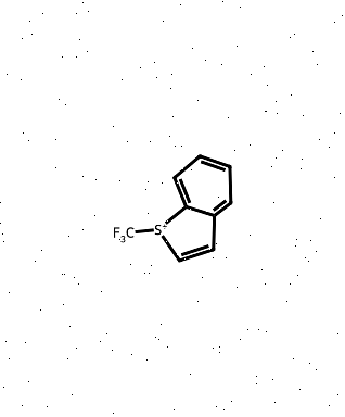 FC(F)(F)[s+]1ccc2ccccc21